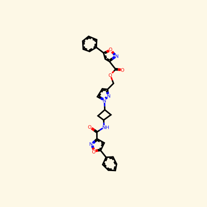 O=C(NC1CC(n2ccc(COC(=O)c3cc(-c4ccccc4)on3)n2)C1)c1cc(-c2ccccc2)on1